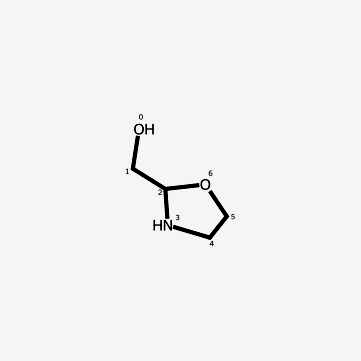 OCC1NCCO1